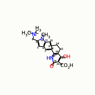 CN(C)Cc1cc2cc3c(cc2n1C)CCc1c-3[nH]c(=O)c(C(=O)O)c1O